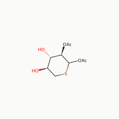 CC(=O)OC1SC[C@@H](O)[C@H](O)[C@H]1OC(C)=O